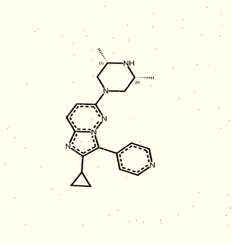 C[C@@H]1CN(c2ccc3nc(C4CC4)c(-c4ccncc4)n3n2)C[C@H](C)N1